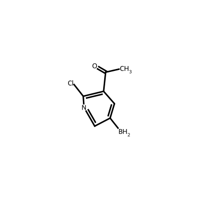 Bc1cnc(Cl)c(C(C)=O)c1